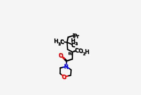 CC(C)CC(C)(C)C[C@H](CC(=O)N1CCOCC1)C(=O)O